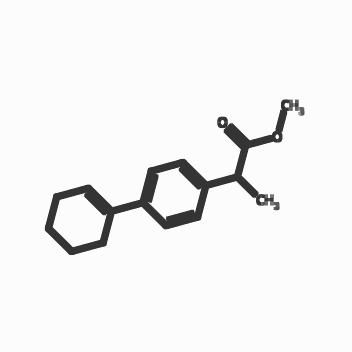 COC(=O)C(C)c1ccc(C2=CCCCC2)cc1